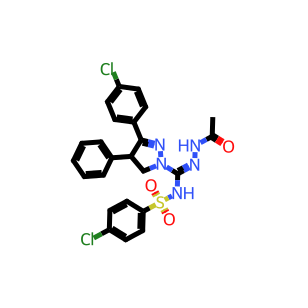 CC(=O)NN=C(NS(=O)(=O)c1ccc(Cl)cc1)N1CC(c2ccccc2)C(c2ccc(Cl)cc2)=N1